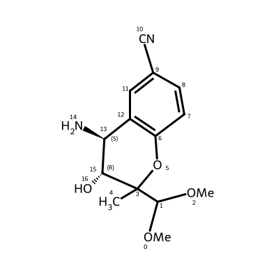 COC(OC)C1(C)Oc2ccc(C#N)cc2[C@H](N)[C@H]1O